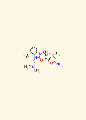 Cc1cccc2c1n(CCN(C)C)c(=O)n2C(=O)NCC(C)(C)CC(N)=O